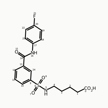 O=C(O)CCCCNS(=O)(=O)c1cccc(C(=O)Nc2ccc(F)cc2)c1